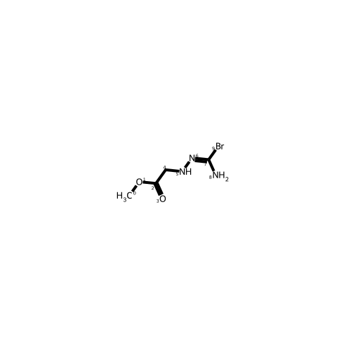 COC(=O)CN/N=C(\N)Br